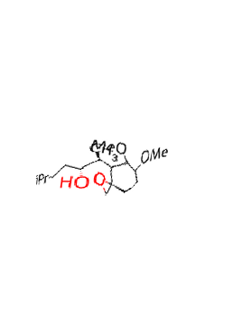 COC1CC[C@]2(CO2)C([C@H](C)[C@H](O)CCC(C)C)C1OC